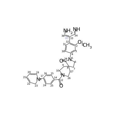 COc1cc(N2CCC3(CCN(C(=O)c4ccc(N5C=CC=CC5)cc4)CC3)C2=O)ccc1/C(C=N)=C/N